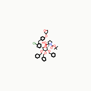 CC(C)(C)OC(=O)N1CCC[C@@]1(C[C@H]1O[C@@H](c2ccc(Cl)c(Cc3ccc(O[C@@H]4CCOC4)cc3)c2)[C@H](OCc2ccccc2)[C@H](OCc2ccccc2)[C@@H]1OCc1ccccc1)C(=O)O